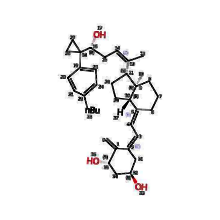 C=C1/C(=C\C=C2/CCC[C@]3(C)[C@@H](/C(C)=C\C[C@@H](O)C4(c5ccc(CCCC)cc5)CC4)CC[C@@H]23)C[C@@H](O)C[C@@H]1O